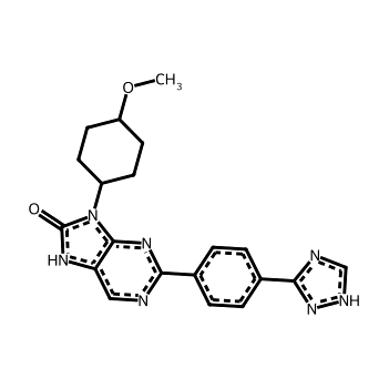 COC1CCC(n2c(=O)[nH]c3cnc(-c4ccc(-c5nc[nH]n5)cc4)nc32)CC1